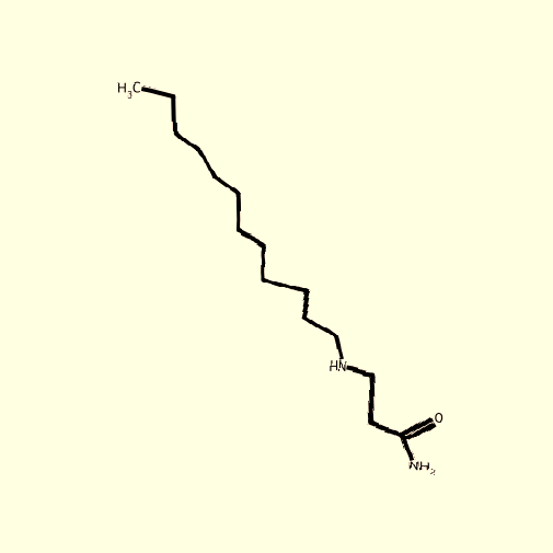 CCCCCCCCCCCCNCCC(N)=O